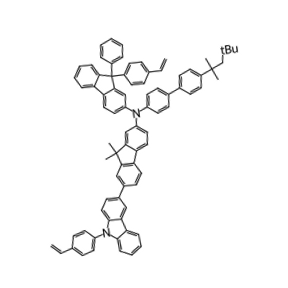 C=Cc1ccc(-n2c3ccccc3c3cc(-c4ccc5c(c4)C(C)(C)c4cc(N(c6ccc(-c7ccc(C(C)(C)CC(C)(C)C)cc7)cc6)c6ccc7c(c6)C(c6ccccc6)(c6ccc(C=C)cc6)c6ccccc6-7)ccc4-5)ccc32)cc1